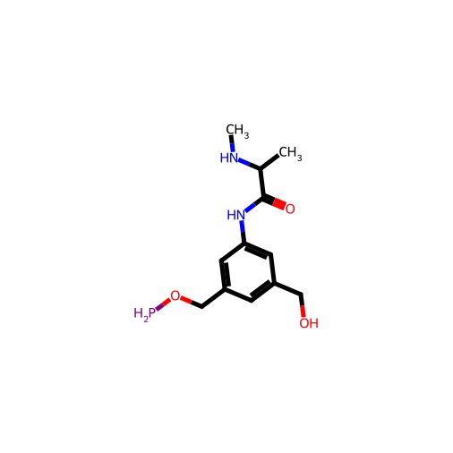 CNC(C)C(=O)Nc1cc(CO)cc(COP)c1